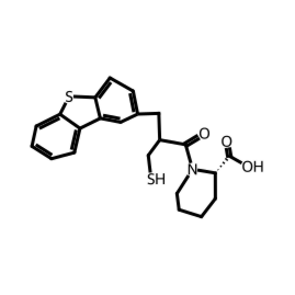 O=C(O)[C@@H]1CCCCN1C(=O)C(CS)Cc1ccc2sc3ccccc3c2c1